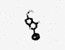 COc1ccc2oc([C]34[CH]5[CH]6[CH]7[CH]3[Fe]6754389%10[CH]4[CH]3[CH]8[CH]9[CH]4%10)cc(=O)c2c1